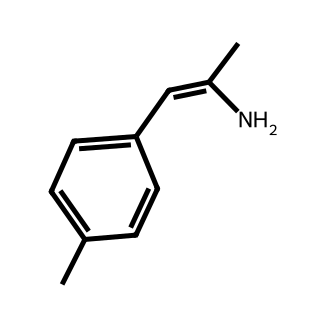 CC(N)=Cc1ccc(C)cc1